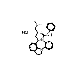 CN(C)CCCC1c2cccc3c2N(CC3)c2ccccc2N1C(=O)Nc1ccccc1.Cl